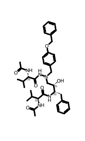 CC(=O)N[C@H](C(=O)N[C@@H](Cc1ccccc1)[C@@H](O)CN(Cc1ccc(OCc2ccccc2)cc1)NC(=O)[C@@H](NC(C)=O)C(C)C)C(C)C